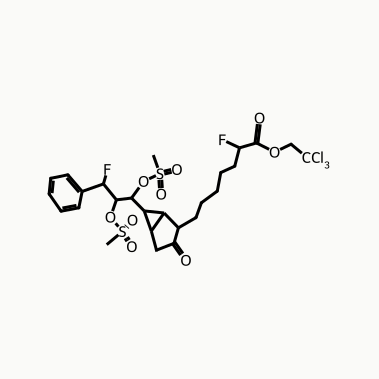 CS(=O)(=O)OC(C(F)c1ccccc1)C(OS(C)(=O)=O)C1C2CC(=O)C(CCCCCC(F)C(=O)OCC(Cl)(Cl)Cl)C21